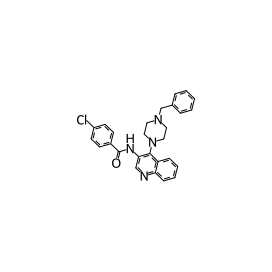 O=C(Nc1cnc2ccccc2c1N1CCN(Cc2ccccc2)CC1)c1ccc(Cl)cc1